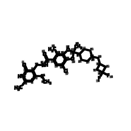 CSc1cc(C)[nH]c(=O)c1CNC(=O)c1cc(Cl)c2c(c1C)O[C@](C)(C1CCN(CC3CC(F)(F)C3)CC1)O2